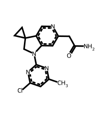 Cc1cc(Cl)nc(N2CC3(CC3)c3cnc(CC(N)=O)cc32)n1